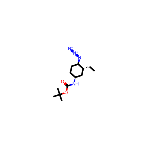 CC[C@@H]1C[C@@H](NC(=O)OC(C)(C)C)CCC1N=[N+]=[N-]